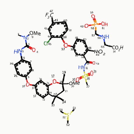 CON(C)C(=O)Nc1ccc(Oc2ccc3c(c2)OC(C)(OC)CC3(C)C)cc1.CS(=O)(=O)NC(=O)c1cc(Oc2ccc(C(F)(F)F)cc2Cl)ccc1[N+](=O)[O-].C[S+](C)C.O=C(O)CNCP(=O)([O-])O